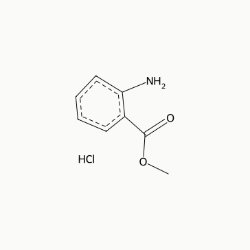 COC(=O)c1ccccc1N.Cl